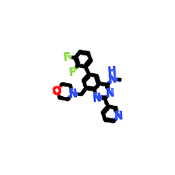 CNc1nc(-c2cccnc2)nc2c(CN3CCOCC3)cc(-c3cccc(F)c3F)cc12